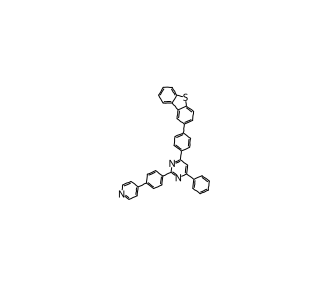 c1ccc(-c2cc(-c3ccc(-c4ccc5sc6ccccc6c5c4)cc3)nc(-c3ccc(-c4ccncc4)cc3)n2)cc1